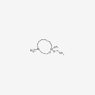 CCO[Si]1(C)CCCCCCN(C)CCO1